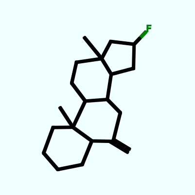 C=C1CC2C3CC(F)CC3(C)CCC2C2(C)CCCCC12